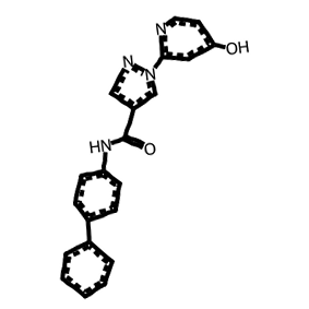 O=C(Nc1ccc(-c2ccccc2)cc1)c1cnn(-c2cc(O)ccn2)c1